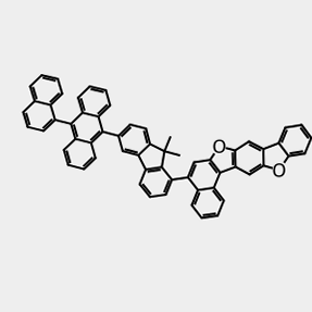 CC1(C)c2ccc(-c3c4ccccc4c(-c4cccc5ccccc45)c4ccccc34)cc2-c2cccc(-c3cc4oc5cc6c(cc5c4c4ccccc34)oc3ccccc36)c21